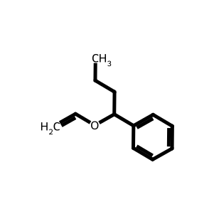 C=COC(CCC)c1ccccc1